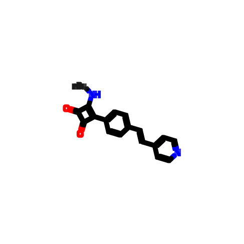 CCCCNc1c(-c2ccc(C=Cc3ccncc3)cc2)c(=O)c1=O